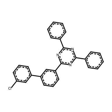 Clc1cccc(-c2cccc(-c3nc(-c4ccccc4)nc(-c4ccccc4)n3)c2)c1